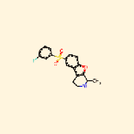 CC1NCCc2c1oc1ccc(S(=O)(=O)c3cccc(F)c3)cc21